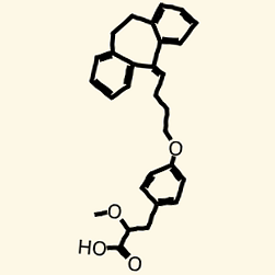 COC(Cc1ccc(OCCCC=C2c3ccccc3CCc3ccccc32)cc1)C(=O)O